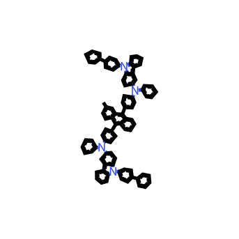 Cc1ccc2c(-c3ccc(N(c4ccccc4)c4ccc5c(c4)c4ccccc4n5-c4ccc(-c5ccccc5)cc4)cc3)c3ccccc3c(-c3ccc(N(c4ccccc4)c4ccc5c(c4)c4ccccc4n5-c4ccc(-c5ccccc5)cc4)cc3)c2c1